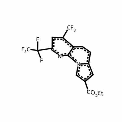 CCOC(=O)c1cc2ccc3c(C(F)(F)F)cc(C(F)(F)C(F)(F)F)nc3n2c1